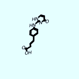 O=C(O)CC=Cc1ccc(Nc2nc(=O)cc[nH]2)cc1